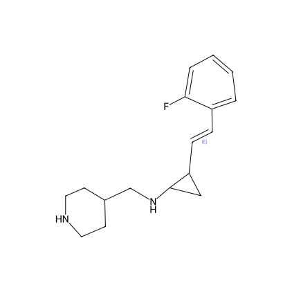 Fc1ccccc1/C=C/C1CC1NCC1CCNCC1